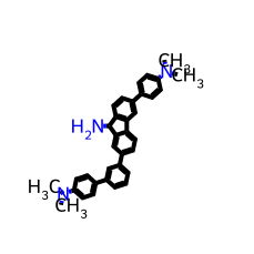 CN(C)c1ccc(-c2cccc(-c3ccc4c(c3)C(N)c3ccc(-c5ccc(N(C)C)cc5)cc3-4)c2)cc1